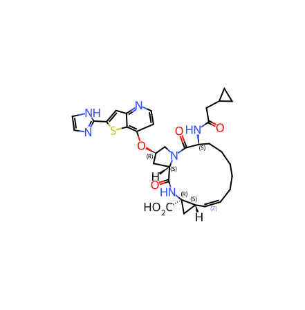 O=C(CC1CC1)N[C@H]1CCCCC/C=C\[C@@H]2C[C@@]2(C(=O)O)NC(=O)[C@@H]2C[C@@H](Oc3ccnc4cc(-c5ncc[nH]5)sc34)CN2C1=O